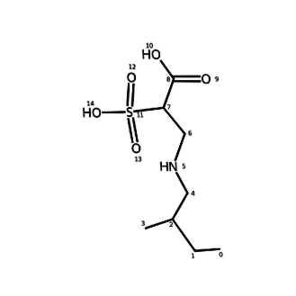 CCC(C)CNCC(C(=O)O)S(=O)(=O)O